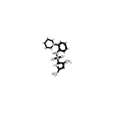 Cc1cc(C)c(S(=O)(=O)Nc2ccccc2N2CCCCC2)s1